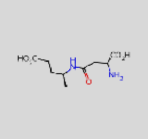 C[C@@H](CCC(=O)O)NC(=O)C[C@H](N)C(=O)O